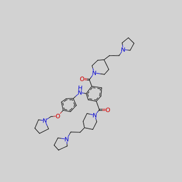 O=C(c1ccc(C(=O)N2CCC(CCN3CCCC3)CC2)c(Nc2ccc(OCN3CCCC3)cc2)c1)N1CCC(CCN2CCCC2)CC1